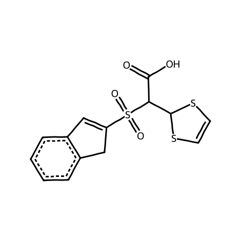 O=C(O)C(C1SC=CS1)S(=O)(=O)C1=Cc2ccccc2C1